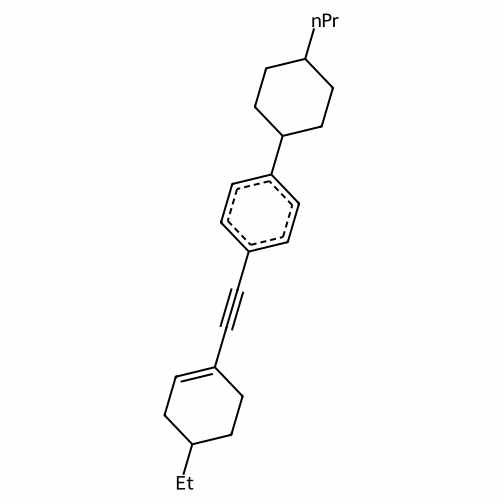 CCCC1CCC(c2ccc(C#CC3=CCC(CC)CC3)cc2)CC1